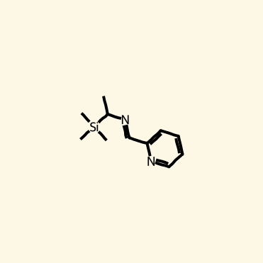 CC(/N=C/c1ccccn1)[Si](C)(C)C